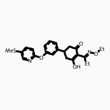 CCON=C(CC)C1=C(O)CC(c2cccc(Oc3ccc(SC)cn3)c2)CC1=O